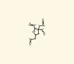 O=NCC1CC(CN=O)(N=O)C(N=O)O1